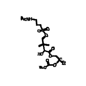 CC[C@H](COC(=O)C(O)C(C)(C)COS(=O)(=O)CCCNC(C)=O)OC(=O)OCC(C)C